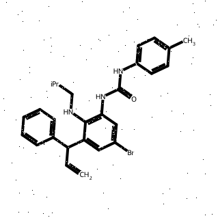 C=CC(c1ccccc1)c1cc(Br)cc(NC(=O)Nc2ccc(C)cc2)c1NCC(C)C